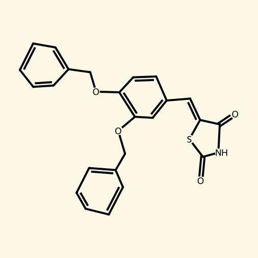 O=C1NC(=O)C(=Cc2ccc(OCc3ccccc3)c(OCc3ccccc3)c2)S1